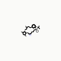 CC(C)OC(=O)CCC/C=C\C[C@@H]1[C@@H](CC[C@@H](C)CCc2ccccc2)[C@H](C)C[C@@H]1C